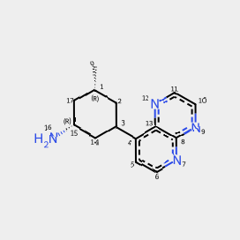 C[C@@H]1CC(c2ccnc3nccnc23)C[C@H](N)C1